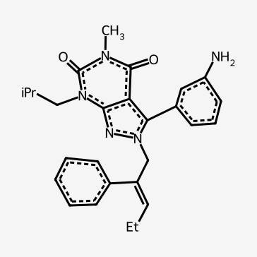 CCC=C(Cn1nc2c(c1-c1cccc(N)c1)c(=O)n(C)c(=O)n2CC(C)C)c1ccccc1